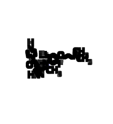 CCc1cc(OCCCN(C)C)c(F)cc1/N=C(\C)c1n[nH]cc1NC(=O)N1CCNCC1